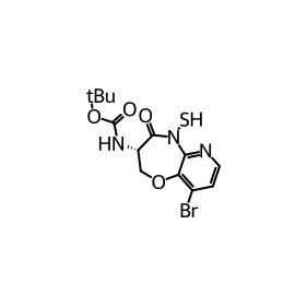 CC(C)(C)OC(=O)N[C@H]1COc2c(Br)ccnc2N(S)C1=O